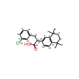 CC1(C)CCC(C)(C)c2cc([C@H](Cc3cccc(Cl)c3)C(=O)O)ccc21